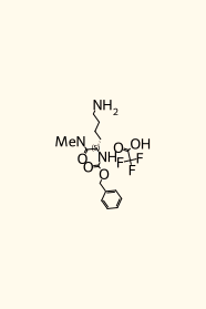 CNC(=O)[C@H](CCCCN)NC(=O)OCc1ccccc1.O=C(O)C(F)(F)F